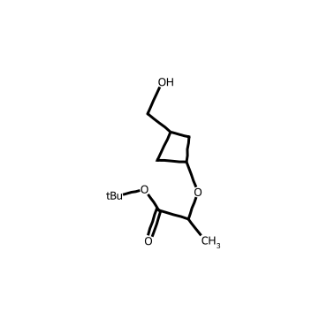 CC(OC1CC(CO)C1)C(=O)OC(C)(C)C